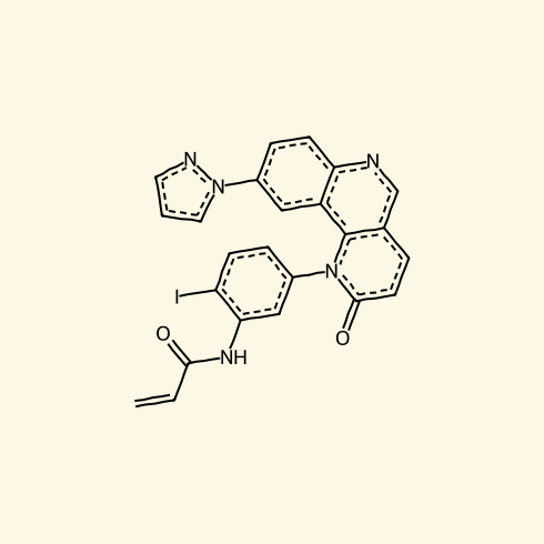 C=CC(=O)Nc1cc(-n2c(=O)ccc3cnc4ccc(-n5cccn5)cc4c32)ccc1I